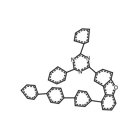 c1ccc(-c2ccc(-c3ccc(-c4cccc5oc6ccc(-c7nc(-c8ccccc8)nc(-c8ccccc8)n7)cc6c45)cc3)cc2)cc1